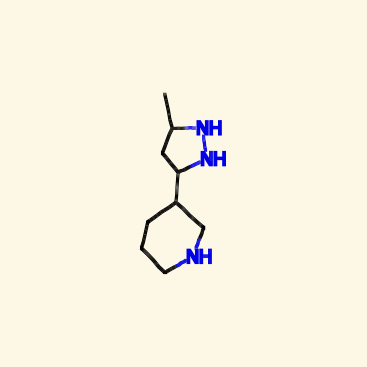 CC1CC(C2CCCNC2)NN1